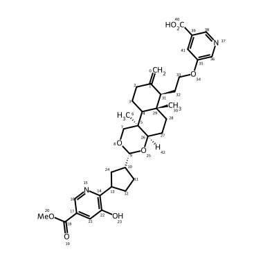 C=C1CCC2[C@]3(C)CO[C@@H](C4CCC(c5ncc(C(=O)OC)cc5O)C4)O[C@@H]3CC[C@@]2(C)[C@@H]1CCOc1cncc(C(=O)O)c1